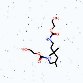 CC(CNC(=O)OCCO)CC(C)(C)CCNC(=O)OCCO